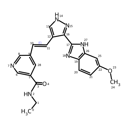 CCNC(=O)c1cncc(/C=C/c2c[nH]nc2-c2nc3ccc(OC)cc3[nH]2)c1